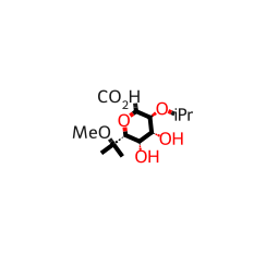 COC(C)(C)[C@@H]1OC(C(=O)O)[C@@H](OC(C)C)[C@H](O)[C@@H]1O